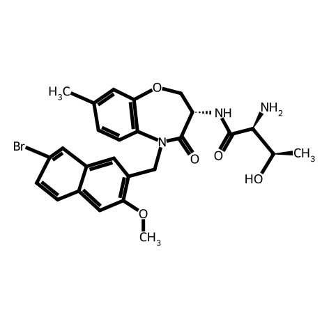 COc1cc2ccc(Br)cc2cc1CN1C(=O)[C@@H](NC(=O)[C@@H](N)[C@@H](C)O)COc2cc(C)ccc21